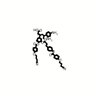 N#CCCCOc1ccc(C(=O)Oc2ccc(/C=C/C(=O)OCC(C/C(=C\C(=O)O)c3ccc(OC(=O)c4ccc(OCCCC#N)cc4)cc3)c3ccc(N)cc3N)cc2)cc1